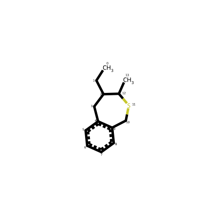 CCC1Cc2ccccc2CSC1C